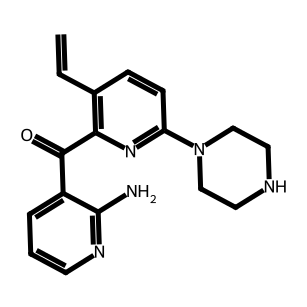 C=Cc1ccc(N2CCNCC2)nc1C(=O)c1cccnc1N